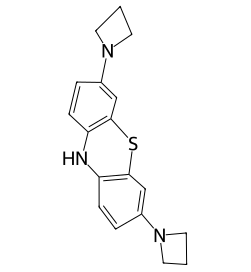 c1cc2c(cc1N1CCC1)Sc1cc(N3CCC3)ccc1N2